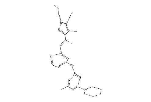 CCCn1nc(/C(C)=C/c2cccc(Oc3nc(C)nc(N4CCCCC4)n3)c2)c(C)c1C